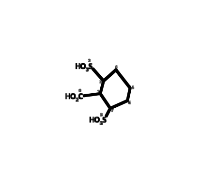 O=C(O)C1C(S(=O)(=O)O)C[CH]CC1S(=O)(=O)O